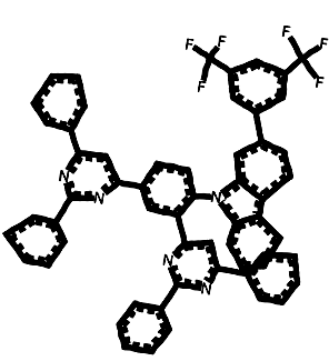 FC(F)(F)c1cc(-c2ccc3c4ccccc4n(-c4ccc(-c5cc(-c6ccccc6)nc(-c6ccccc6)n5)cc4-c4cc(-c5ccccc5)nc(-c5ccccc5)n4)c3c2)cc(C(F)(F)F)c1